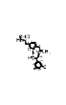 CC(Cc1ccc(CCNC=O)cc1)NCC(O)c1cccc(Cl)c1